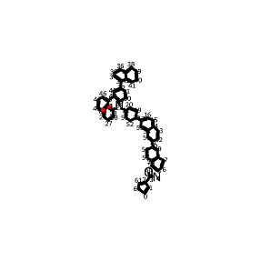 C1=CC(c2nc3ccc4cc(-c5ccc6ccc(C7C=CC(N(c8ccccc8)c8ccc(-c9cccc%10ccccc9%10)cc8-c8ccccc8)=CC7)cc6c5)ccc4c3o2)=CC1